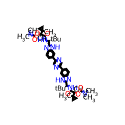 CN(C)C(=O)O[C@@](C)(C(=O)N[C@H](c1nc2ccc(-c3cnc(-c4ccc5nc([C@@H](NC(=O)[C@](C)(OC(=O)N(C)C)C6(C)CC6)C(C)(C)C)[nH]c5c4)cn3)cc2[nH]1)C(C)(C)C)C1(C)CC1